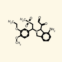 CCOc1cc(C(CS(C)(=O)=O)N2Cc3cccc(N)c3C2C(=O)C=O)ccc1OC